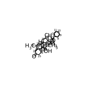 CC(=O)[C@@]1(OC(=O)c2ccccc2)[C@@H](C)C[C@H]2[C@@H]3C[C@H](C)C4=CC(=O)CC[C@]4(C)[C@H]3[C@@H](O)C[C@@]21C